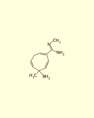 BC1(C)/C=C\CC=C(/C(N)=N/C)/C=C\1